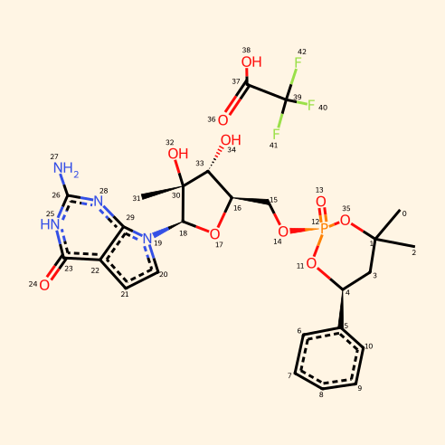 CC1(C)C[C@@H](c2ccccc2)O[P@@](=O)(OC[C@H]2O[C@@H](n3ccc4c(=O)[nH]c(N)nc43)[C@](C)(O)[C@@H]2O)O1.O=C(O)C(F)(F)F